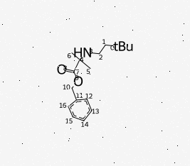 CC(C)(C)CCNC(C)(C)C(=O)OCc1ccccc1